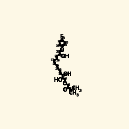 CN(C)C(=O)COC[C@H](O)[C@H](O)/C=C/C=C/C=C\C=C\[C@H](O)COc1ccc(F)cc1